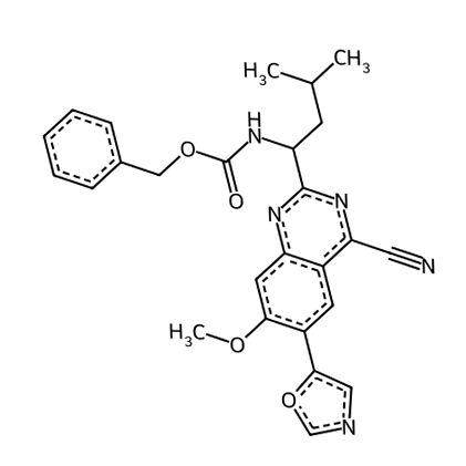 COc1cc2nc(C(CC(C)C)NC(=O)OCc3ccccc3)nc(C#N)c2cc1-c1cnco1